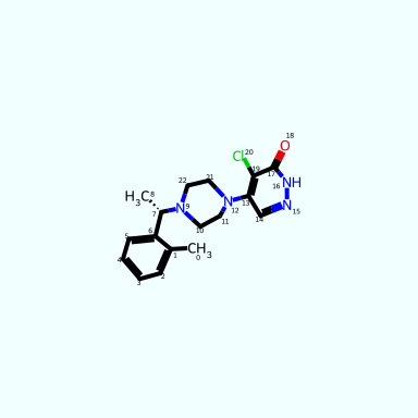 Cc1ccccc1[C@H](C)N1CCN(c2cn[nH]c(=O)c2Cl)CC1